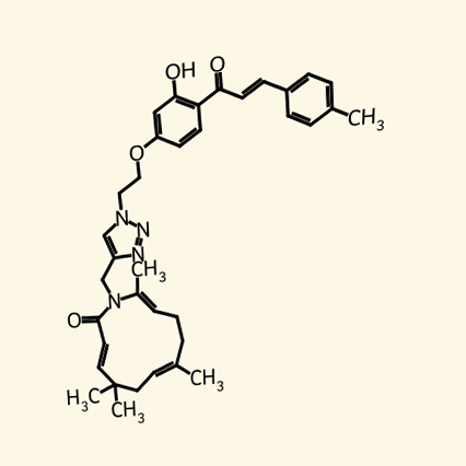 C/C1=C\CC(C)(C)/C=C/C(=O)N(Cc2cn(CCOc3ccc(C(=O)/C=C/c4ccc(C)cc4)c(O)c3)nn2)/C(C)=C/CC1